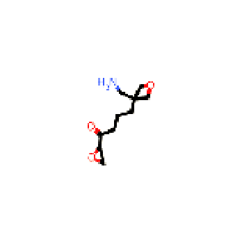 NCC1(CCCC(=O)C2CO2)COC1